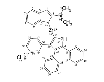 C[SiH](C)C1=Cc2ccccc2[CH]1[Zr+2][c]1[pH]c(-c2ccccc2)c(-c2ccccc2)c1-c1ccccc1.[Cl-].[Cl-]